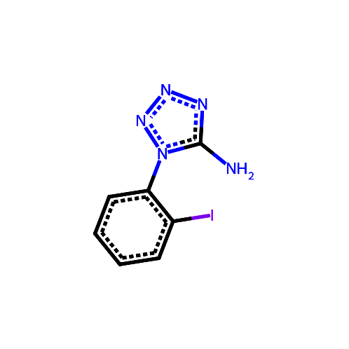 Nc1nnnn1-c1ccccc1I